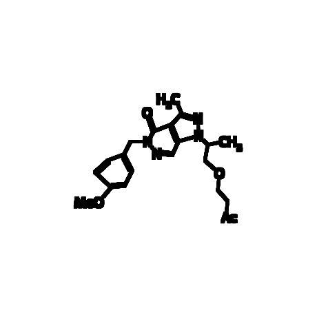 COc1ccc(Cn2ncc3c(c(C)nn3C(C)COCCC(C)=O)c2=O)cc1